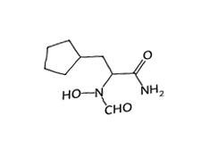 NC(=O)C(CC1CCCC1)N(O)C=O